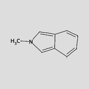 Cn1cc2[c]cccc2c1